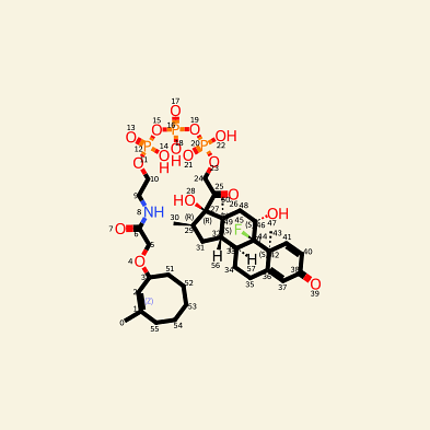 C/C1=C/C(OCC(=O)NCCOP(=O)(O)OP(=O)(O)OP(=O)(O)OCC(=O)[C@@]2(O)[C@H](C)C[C@H]3[C@@H]4CCC5=CC(=O)C=C[C@]5(C)[C@@]4(F)[C@@H](O)C[C@@]32C)CCCCC1